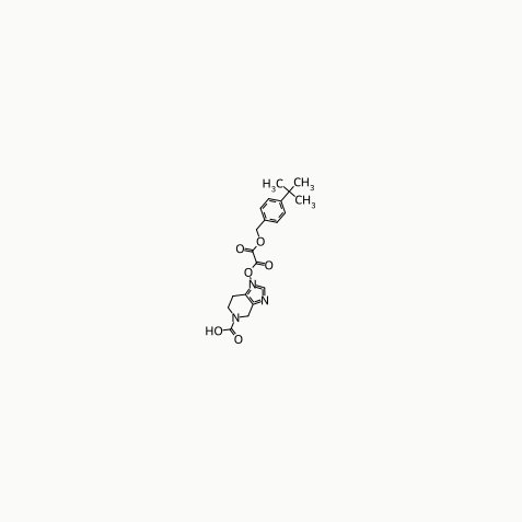 CC(C)(C)c1ccc(COC(=O)C(=O)On2cnc3c2CCN(C(=O)O)C3)cc1